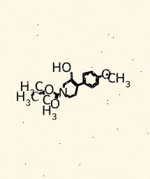 COc1ccc(C2=C(CO)CN(C(=O)OC(C)(C)C)CC2)cc1